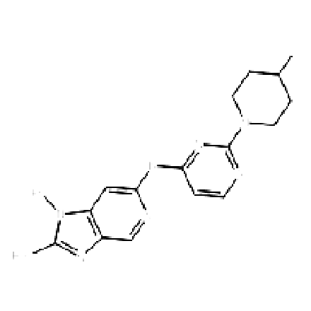 Cc1nc2cnc(Nc3ccnc(N4CCC(F)CC4)n3)cc2n1C(C)C